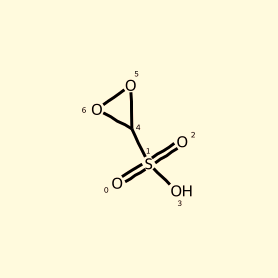 O=S(=O)(O)C1OO1